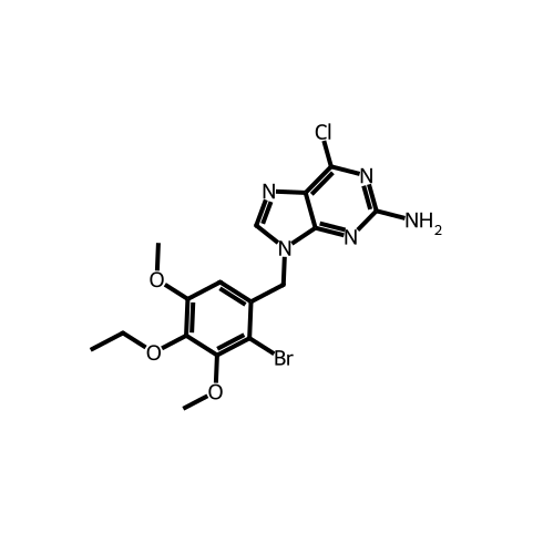 CCOc1c(OC)cc(Cn2cnc3c(Cl)nc(N)nc32)c(Br)c1OC